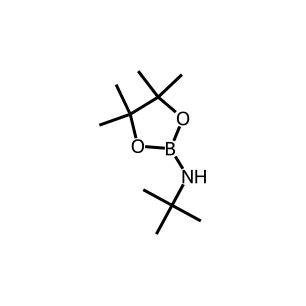 CC(C)(C)NB1OC(C)(C)C(C)(C)O1